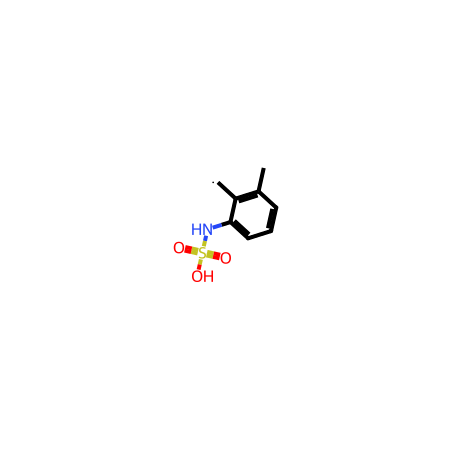 [CH2]c1c(C)cccc1NS(=O)(=O)O